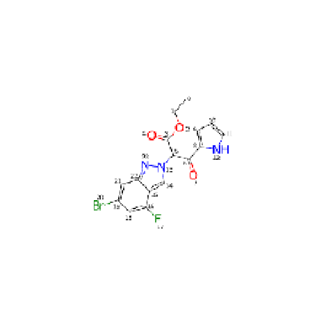 CCOC(=O)C(C(=O)c1ccc[nH]1)n1cc2c(F)cc(Br)cc2n1